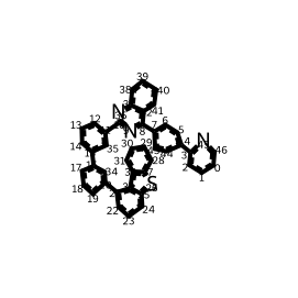 c1ccc(-c2ccc(-c3nc(-c4cccc(-c5cccc(-c6cccc7sc8ccccc8c67)c5)c4)nc4ccccc34)cc2)nc1